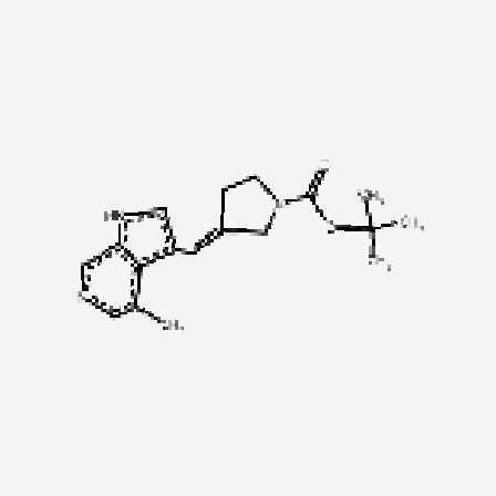 Cc1cncc2[nH]cc(/C=C3\CCN(C(=O)OC(C)(C)C)C3)c12